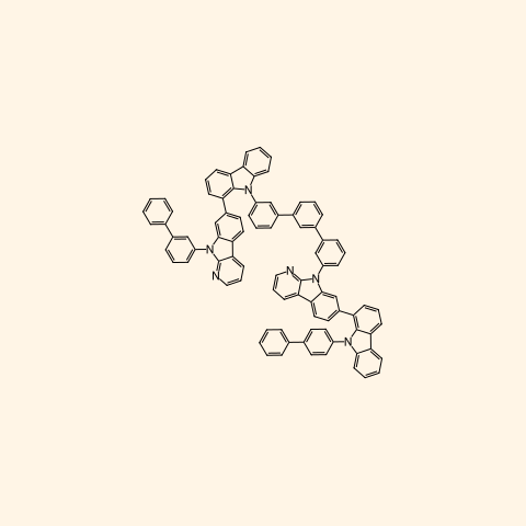 c1ccc(-c2ccc(-n3c4ccccc4c4cccc(-c5ccc6c7cccnc7n(-c7cccc(-c8cccc(-c9cccc(-n%10c%11ccccc%11c%11cccc(-c%12ccc%13c%14cccnc%14n(-c%14cccc(-c%15ccccc%15)c%14)c%13c%12)c%11%10)c9)c8)c7)c6c5)c43)cc2)cc1